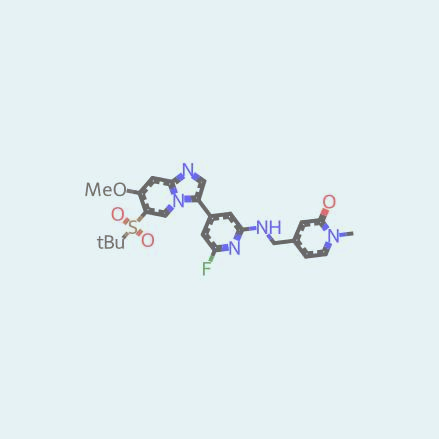 COc1cc2ncc(-c3cc(F)nc(NCc4ccn(C)c(=O)c4)c3)n2cc1S(=O)(=O)C(C)(C)C